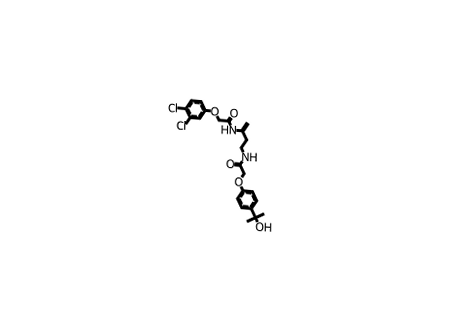 C=C(CCNC(=O)COc1ccc(C(C)(C)O)cc1)NC(=O)COc1ccc(Cl)c(Cl)c1